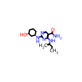 C=C(CC)Nc1nc(N[C@H]2CCC[C@H](O)C2)ncc1C(N)=O